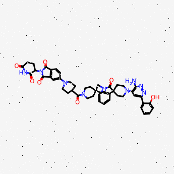 Nc1nnc(-c2ccccc2O)cc1N1CCC(C(=O)N2CC3(CCN(C(=O)C4CCN(c5ccc6c(c5)C(=O)N(C5CCC(=O)NC5=O)C6=O)CC4)CC3)C2)(c2ccccc2)CC1